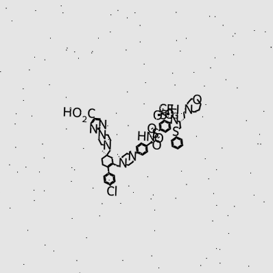 C[C@@]1(CN2CCN(c3ncc(C(=O)O)cn3)CC2)CCC(c2ccc(Cl)cc2)=C(CN2CCN(c3ccc(C(=O)NS(=O)(=O)c4ccc(N[C@H](CCN5CCCOCC5)CSc5ccccc5)c(S(=O)(=O)C(F)(F)F)c4)cc3)CC2)C1